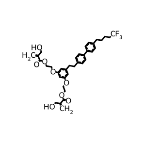 C=C(CO)C(=O)OCCOc1cc(CCc2ccc(-c3ccc(CCCCC(F)(F)F)cc3)cc2)cc(OCCOC(=O)C(=C)CO)c1